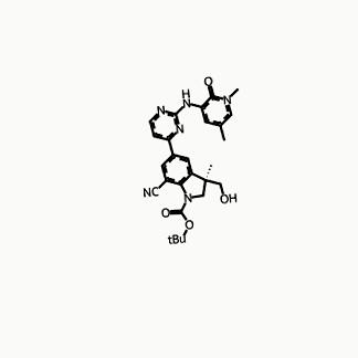 Cc1cc(Nc2nccc(-c3cc(C#N)c4c(c3)[C@@](C)(CO)CN4C(=O)OC(C)(C)C)n2)c(=O)n(C)c1